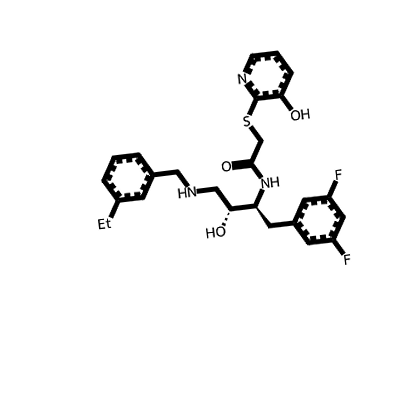 CCc1cccc(CNC[C@@H](O)[C@H](Cc2cc(F)cc(F)c2)NC(=O)CSc2ncccc2O)c1